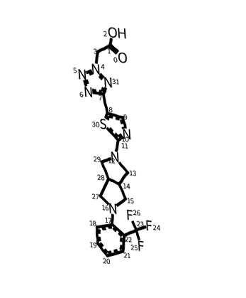 O=C(O)Cn1nnc(-c2cnc(N3CC4CN(c5ccccc5C(F)(F)F)CC4C3)s2)n1